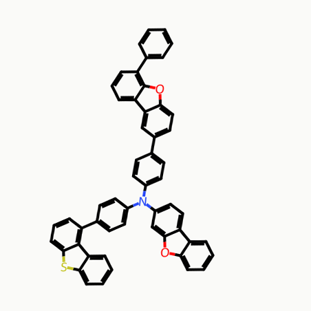 c1ccc(-c2cccc3c2oc2ccc(-c4ccc(N(c5ccc(-c6cccc7sc8ccccc8c67)cc5)c5ccc6c(c5)oc5ccccc56)cc4)cc23)cc1